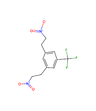 O=[N+]([O-])CCc1[c]c(CC[N+](=O)[O-])cc(C(F)(F)F)c1